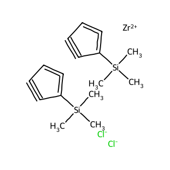 C[Si](C)(C)C1=C=CC#C1.C[Si](C)(C)C1=C=CC#C1.[Cl-].[Cl-].[Zr+2]